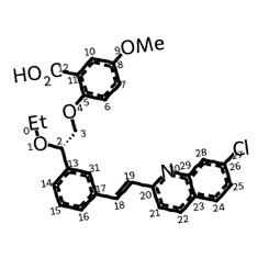 CCO[C@H](COc1ccc(OC)cc1C(=O)O)c1cccc(/C=C/c2ccc3ccc(Cl)cc3n2)c1